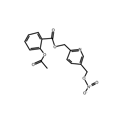 CC(=O)Oc1ccccc1C(=O)OCc1ccc(CO[N+](=O)[O-])cn1